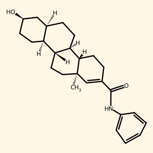 C[C@@]12C=C(C(=O)Nc3ccccc3)CC[C@H]1[C@@H]1CC[C@@H]3C[C@H](O)CC[C@@H]3[C@H]1CC2